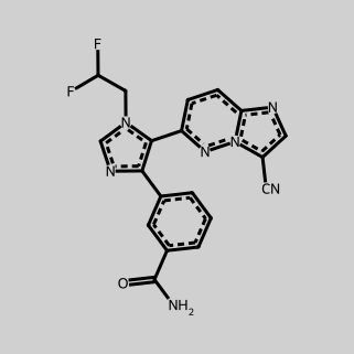 N#Cc1cnc2ccc(-c3c(-c4cccc(C(N)=O)c4)ncn3CC(F)F)nn12